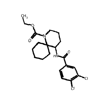 CCOC(=O)N1CCCC(NC(=O)c2ccc(Cl)c(Cl)c2)C12CCCCC2